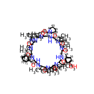 CC[C@H](C)[C@H]1C(=O)N[C@@H](Cc2ccc(O)cc2)C(=O)N(C)C(=O)N(C)[C@@H](CC(C)C)C(=O)N[C@H](C(=O)N2CCCCC2)C(=O)N(C)[C@@H](C)N[C@@H](CC(C)C)C(=O)N(C)[C@@H](C)C(=O)N(C)[C@@H](Cc2ccccc2)C(=O)N[C@H](C(C)C)C(=O)N(C)[C@H](C)C(=O)N1C